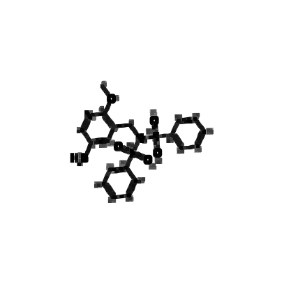 Bc1cnc(OC)c(CN(S(=O)(=O)c2ccccc2)S(=O)(=O)c2ccccc2)c1